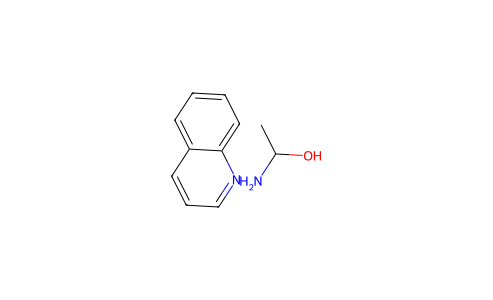 CC(N)O.c1ccc2ncccc2c1